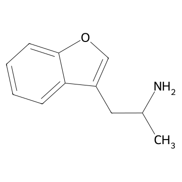 CC(N)Cc1coc2ccccc12